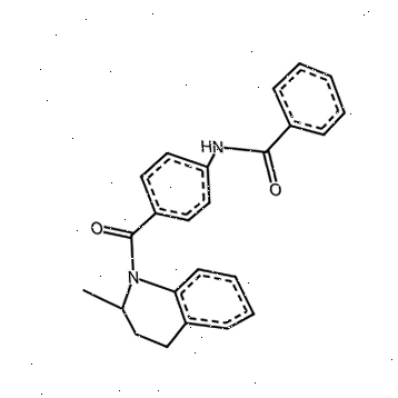 CC1CCc2ccccc2N1C(=O)c1ccc(NC(=O)c2ccccc2)cc1